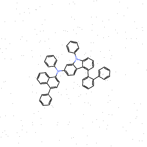 c1ccc(-c2ccccc2-c2cccc3c2c2ccc(N(c4ccccc4)c4ccc(-c5ccccc5)c5ccccc45)cc2n3-c2ccccc2)cc1